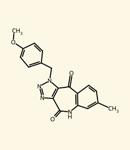 COc1ccc(Cn2nnc3c(=O)[nH]c4cc(C)ccc4c(=O)c32)cc1